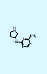 Nc1ncnc(N[C@@H]2CCNC2)n1